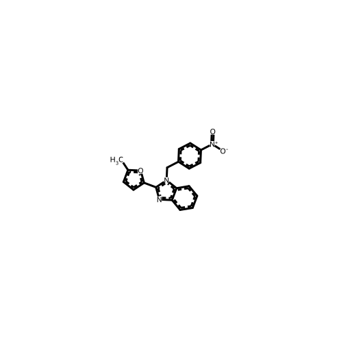 Cc1ccc(-c2nc3ccccc3n2Cc2ccc([N+](=O)[O-])cc2)o1